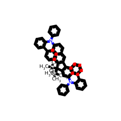 C[Si](C)(C)C1([Si](C)(C)C)c2cc3cc(N(c4ccccc4)c4ccccc4-c4ccccc4)ccc3cc2-c2c1cc(N(c1ccccc1)c1ccccc1-c1ccccc1)c1ccccc21